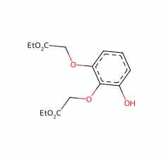 CCOC(=O)COc1cccc(O)c1OCC(=O)OCC